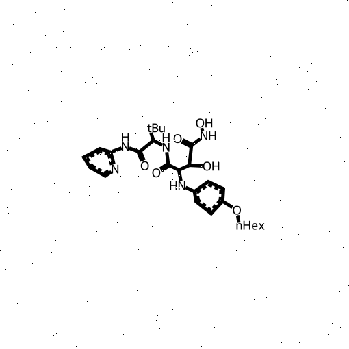 CCCCCCOc1ccc(NC(C(=O)NC(C(=O)Nc2ccccn2)C(C)(C)C)C(O)C(=O)NO)cc1